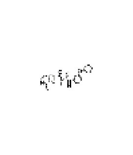 O=C(NC(=S)Nc1cccc(Oc2ccccc2)c1)c1cc2ccnc(Cl)c2o1